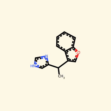 CC(c1c[nH]cn1)c1coc2ccccc12